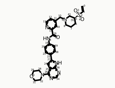 C=CS(=O)(=O)[C@H]1CCCN(Cc2ccnc(C(=O)Nc3ccc(-c4cc5c(N6CCOCC6)ncnc5[nH]4)cc3)c2)C1